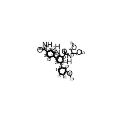 COCC(COC)NC(=O)c1cc(-c2cccc(OC)c2)cc2c1[nH]c1cc(C(N)=O)ccc12